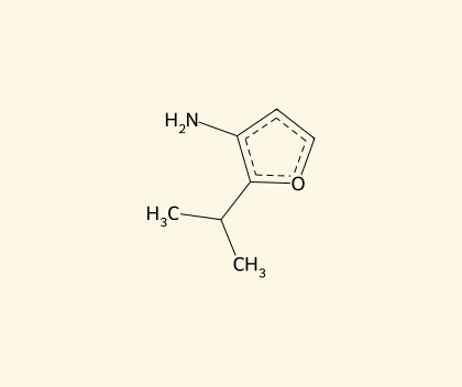 CC(C)c1occc1N